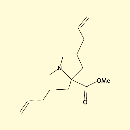 C=CCCCC(CCCC=C)(C(=O)OC)N(C)C